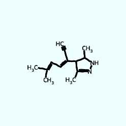 C#C/C(=C\C=C(C)C)C1C(C)=NNC1C